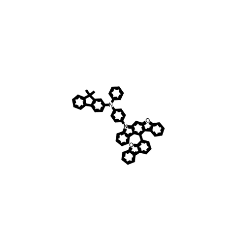 CC1(C)c2ccccc2-c2ccc(N(c3ccccc3)c3ccc(-n4c5ccccc5c5c(-c6cccc7c6oc6ccccc67)c6c(cc54)oc4ccccc46)cc3)cc21